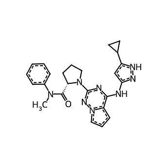 CN(C(=O)[C@@H]1CCCN1c1nc(Nc2cc(C3CC3)[nH]n2)c2cccn2n1)c1ccccc1